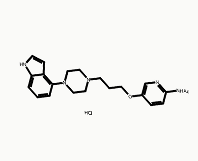 CC(=O)Nc1ccc(OCCCN2CCN(c3cccc4[nH]ccc34)CC2)cn1.Cl